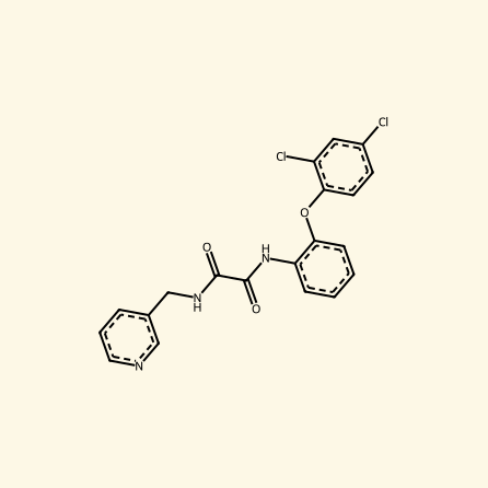 O=C(NCc1cccnc1)C(=O)Nc1ccccc1Oc1ccc(Cl)cc1Cl